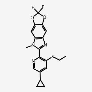 CCSc1cc(C2CC2)cnc1-c1nc2cc3c(cc2n1C)OC(F)(F)O3